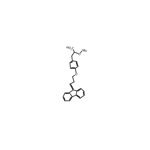 CCCCOC(Cc1ccc(OCCC=C2c3ccccc3-c3ccccc32)cc1)C(=O)O